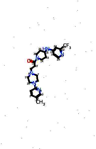 Cc1ccc(N2CCN(CCC(=O)N3CCC(Nc4ccnc(C(F)(F)F)c4)CC3)CC2)nc1